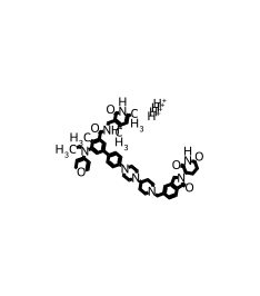 CCN(C1=CCOC=C1)c1cc(-c2ccc(N3CCN(C4CCN(Cc5ccc6c(c5)CN(C5CCC(=O)NC5=O)C6=O)CC4)CC3)cc2)cc(C(=O)NCc2c(C)cc(C)[nH]c2=O)c1C.[H+].[H+].[H+].[H+]